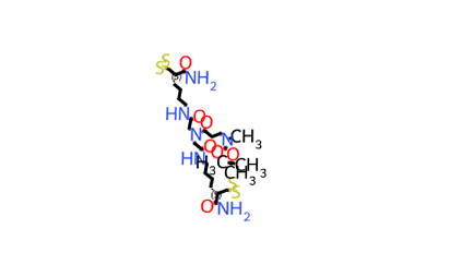 CN(CCC(=O)N(CC(=O)NCCCC[C@@H](C(N)=O)C1SS1)CC(=O)NCCCC[C@@H](C(N)=O)C1SS1)C(=O)OC(C)(C)C